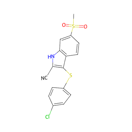 CS(=O)(=O)c1ccc2c(Sc3ccc(Cl)cc3)c(C#N)[nH]c2c1